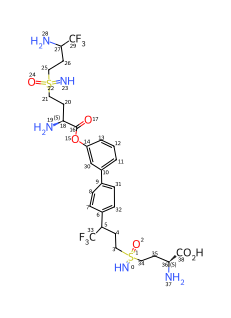 N=S(=O)(CCC(c1ccc(-c2cccc(OC(=O)[C@@H](N)CCS(=N)(=O)CCC(N)C(F)(F)F)c2)cc1)C(F)(F)F)CC[C@H](N)C(=O)O